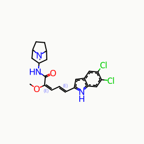 CO/C(=C/C=C/c1cc2cc(Cl)c(Cl)cc2[nH]1)C(=O)NC1CC2CCC(C1)N2C